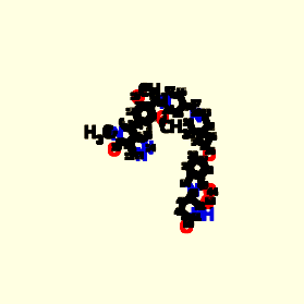 COc1cc(-c2cn(C)c(=O)c3cnncc23)cc(OC)c1CN1CCC(CN2CCC3(CC2)CC(Oc2ccc4c(c2)C(=O)N(C2CCC(=O)NC2=O)C4)C3)CC1